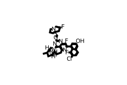 CC1C[C@@H]2N[C@H]1CN1c3nc(OC[C@@]45CCCN4C[C@H](F)C5)nc4c(F)c(-c5cc(O)cc6ccc(Cl)c(F)c56)nc(c34)CC[C@H]21